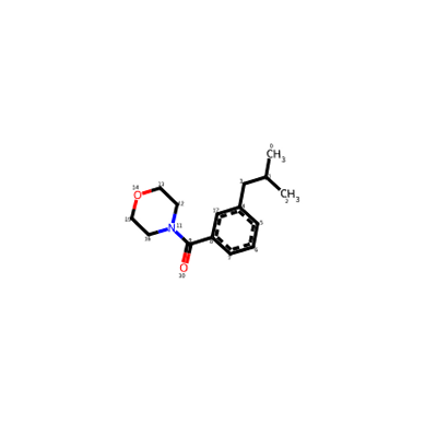 C[C](C)Cc1cccc(C(=O)N2CCOCC2)c1